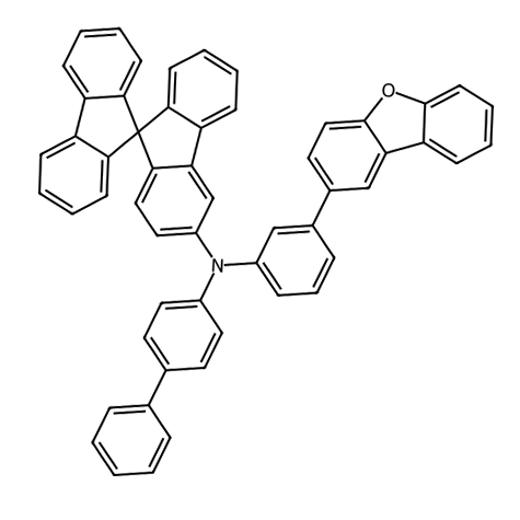 c1ccc(-c2ccc(N(c3cccc(-c4ccc5oc6ccccc6c5c4)c3)c3ccc4c(c3)-c3ccccc3C43c4ccccc4-c4ccccc43)cc2)cc1